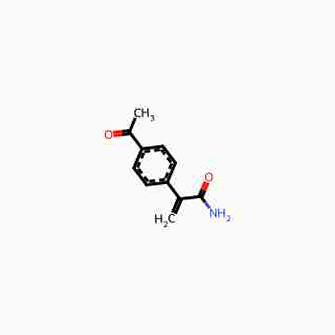 C=C(C(N)=O)c1ccc(C(C)=O)cc1